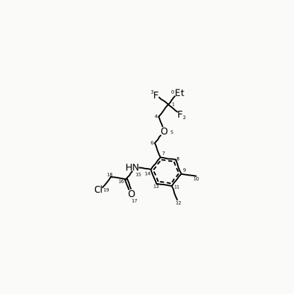 CCC(F)(F)COCc1cc(C)c(C)cc1NC(=O)CCl